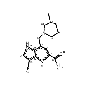 C[C@H]1CCCN(Cc2cc(C(N)=O)nc3c(F)c[nH]c23)C1